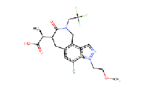 COCCn1ncc2c3c(cc(Cl)c21)CC([C@H](C)C(=O)O)C(=O)N(CC(F)(F)F)C3